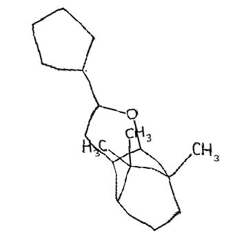 CC1(C)C2CCC1(C)C1OC([C]3CCCC3)CC21